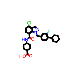 O=C(NC1CCC(C(=O)O)CC1)c1ccc(Cl)c2cnn(Cc3ccc(C4=CCCCC4)c(F)c3)c12